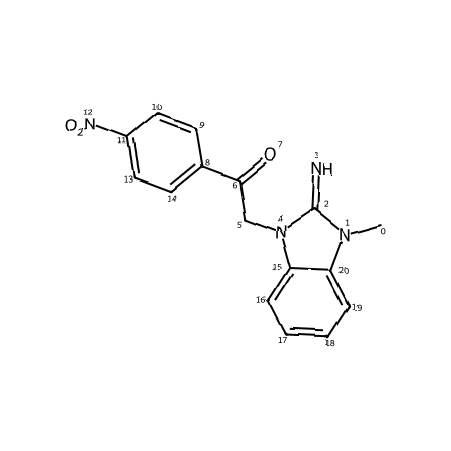 Cn1c(=N)n(CC(=O)c2ccc([N+](=O)[O-])cc2)c2ccccc21